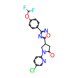 O=C1CC(c2nc(-c3ccc(OC(F)F)cc3)no2)CN1c1ccc(Cl)cn1